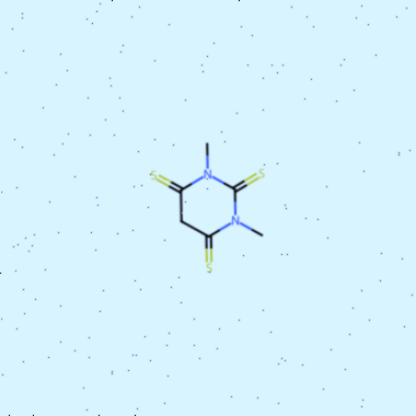 CN1C(=S)CC(=S)N(C)C1=S